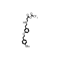 CC(C)(C)c1ccc(CCOc2cccc(CCNCCC(=O)OC(=O)C(F)(F)F)c2)cc1